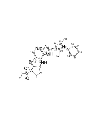 CCS(=O)(=O)N1CC[C@H](Nc2c(Br)cnc3nc(-c4cc(C)n(-c5c[c]ccc5)c4C)[nH]c23)C1